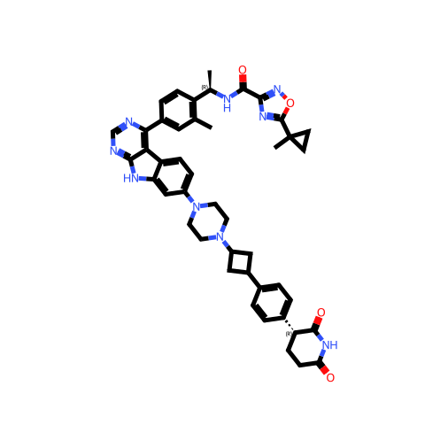 Cc1cc(-c2ncnc3[nH]c4cc(N5CCN(C6CC(c7ccc([C@H]8CCC(=O)NC8=O)cc7)C6)CC5)ccc4c23)ccc1[C@@H](C)NC(=O)c1noc(C2(C)CC2)n1